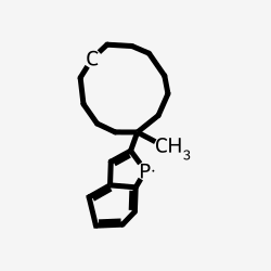 CC1(C2=Cc3ccccc3[P]2)CCCCCCCCCCC1